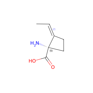 C/C=C1/CC[C@@]1(N)C(=O)O